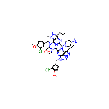 CCCc1nn(C)c2c(NCc3ccc(OC)c(Cl)c3)nc(CN(CC)C(CO)N(Cc3ccc(OC)c(Cl)c3)c3nc(CN4CCC(N(C)C)CC4)nc4c(CCC)nn(C)c34)nc12